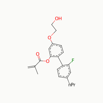 C=C(C)C(=O)Oc1cc(OCCO)ccc1-c1ccc(CCC)cc1F